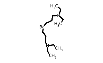 CCN(CC)CC[CH2][Ba][CH2]CCN(CC)CC